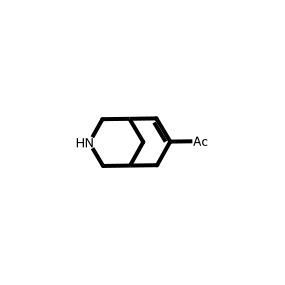 CC(=O)C1=CC2CNCC(C1)C2